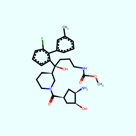 COC(=O)NCCC[C@@](O)(c1cccc(F)c1-c1cccc(C)c1)[C@@H]1CCCN(C(=O)[C@H]2C[C@@H](N)[C@@H](O)C2)C1